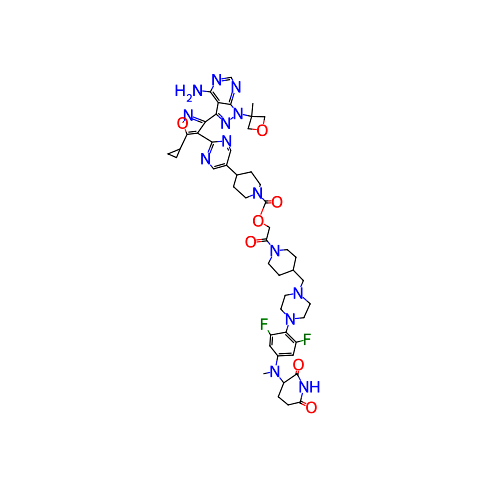 CN(c1cc(F)c(N2CCN(CC3CCN(C(=O)COC(=O)N4CCC(c5cnc(-c6c(-c7nn(C8(C)COC8)c8ncnc(N)c78)noc6C6CC6)nc5)CC4)CC3)CC2)c(F)c1)C1CCC(=O)NC1=O